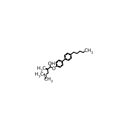 C=C(CN(C)C)C(O)Oc1ccc(-c2ccc(CCCCC)cc2)cc1